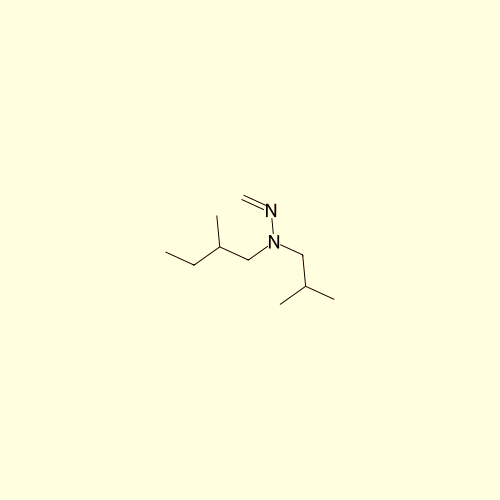 C=NN(CC(C)C)CC(C)CC